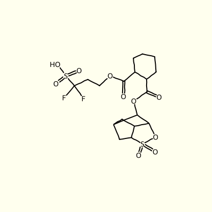 O=C(OCCC(F)(F)S(=O)(=O)O)C1CCCCC1C(=O)OC1C2CC3C1OS(=O)(=O)C3C2